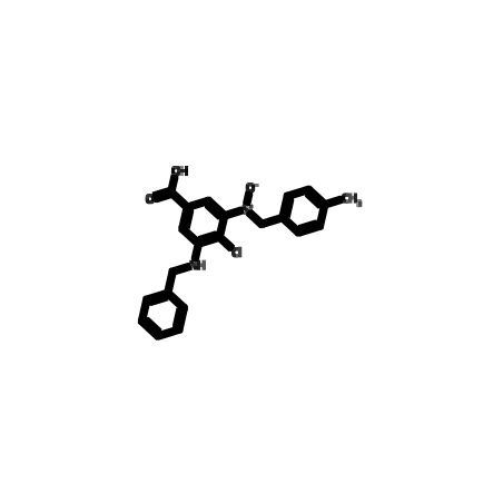 Cc1ccc(C[S+]([O-])c2cc(C(=O)O)cc(NCc3ccccc3)c2Cl)cc1